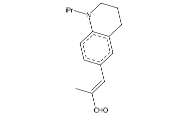 C/C(C=O)=C\c1ccc2c(c1)CCCN2C(C)C